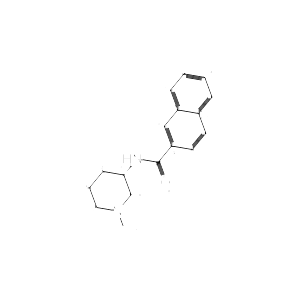 CC(C)N1CCC[C@@H](NC(=O)c2ccc3ccccc3c2)C1